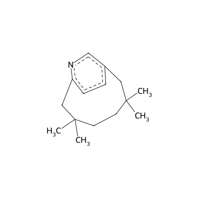 CC1(C)CCC(C)(C)Cc2ccc(cn2)C1